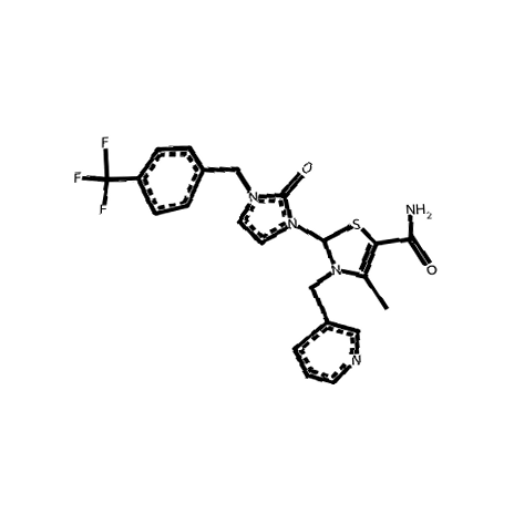 CC1=C(C(N)=O)SC(n2ccn(Cc3ccc(C(F)(F)F)cc3)c2=O)N1Cc1cccnc1